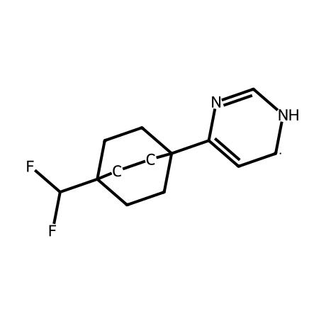 FC(F)C12CCC(C3=C[CH]NC=N3)(CC1)CC2